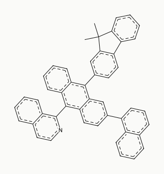 CC1(C)c2ccccc2-c2ccc(-c3c4ccccc4c(-c4nccc5ccccc45)c4ccc(-c5cccc6ccccc56)cc34)cc21